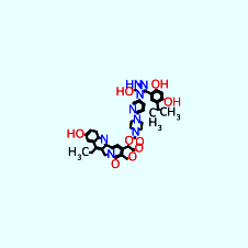 CCC1=C2Cn3c(cc4c(c3=O)COC(=O)[C@H]4OC(=O)N3CCN(c4ccc(N5C(c6cc(C(C)C)c(O)cc6O)=NNC5O)cn4)CC3)C2=NC2CC=C(O)C=C12